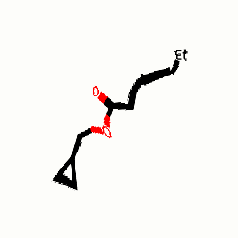 CCC=CCC(=O)OCC1CC1